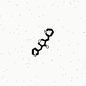 O=C1/C(=C/C2=CN=C=CC=C2)COCC1Cc1cccnc1